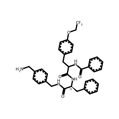 NCc1ccc(CNC(=O)[C@H](Cc2ccccc2)NC(=O)C(Cc2ccc(OCC(F)(F)F)cc2)NC(=O)c2ccccc2)cc1